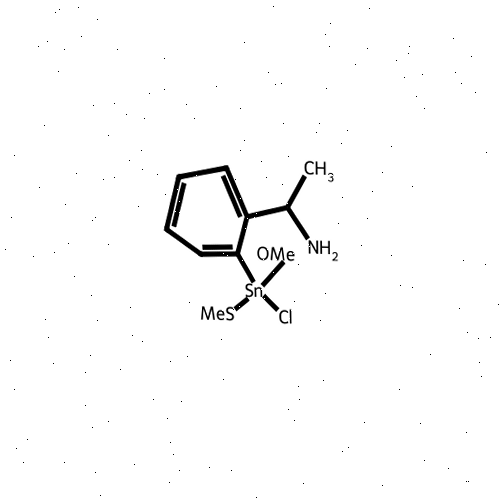 C[O][Sn]([Cl])([S]C)[c]1ccccc1C(C)N